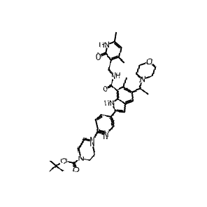 Cc1cc(C)c(CNC(=O)c2c(C)c(C(C)N3CCOCC3)cc3cc(-c4ccc(N5CCN(C(=O)OC(C)(C)C)CC5)nc4)[nH]c23)c(=O)[nH]1